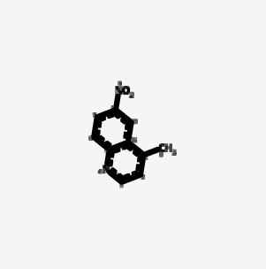 Cc1ccnc2ccc([N+](=O)[O-])cc12